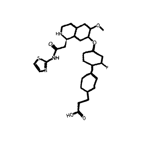 COC1CC2CCN[C@H](CC(=O)Nc3nccs3)C2CC1OC1CCC(C2CCC(CCC(=O)O)CC2)C(F)C1